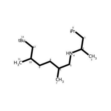 CC(C)CC(C)NCC(C)CCC(C)CC(C)(C)C